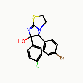 OC1(c2ccc(Cl)cc2)N=C2SCCN2C1c1ccc(Br)cc1